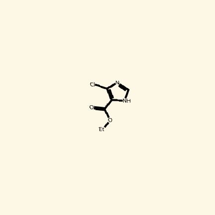 CCOC(=O)c1[nH]cnc1Cl